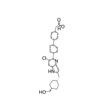 O=[SH](=O)Cc1ccc(-c2ccc(-c3nc4cc(C[C@H]5CC[C@H](CO)CC5)[nH]c4cc3Cl)cc2)cc1